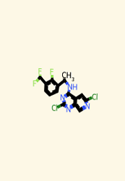 CC(Nc1nc(Cl)nc2cnc(Cl)cc12)c1cccc(C(F)F)c1F